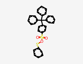 O=S(=O)(OSc1ccccc1)c1ccc(C(c2ccccc2)(c2ccccc2)c2ccccc2)cc1